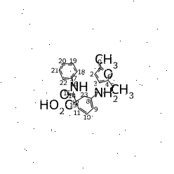 Cc1ccc(C)o1.NC1=CC=CC(C(=O)O)(C(=O)Nc2ccccc2)C1